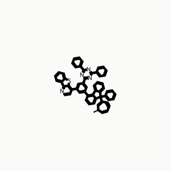 C[C@@H]1C=CC#CC(C2(c3ccccc3)c3ccccc3-c3c(-c4cc(-c5nc(-c6ccccc6)nc(-c6ccccc6)n5)cc(-c5ccnc6c5sc5ccccc56)c4)cccc32)=C1